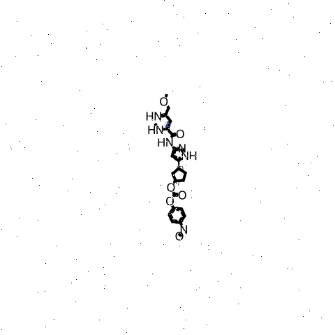 CN/C(=C\C(=N)COC)C(=O)Nc1cc([C@H]2CC[C@@H](OC(=O)Oc3ccc(N=O)cc3)C2)[nH]n1